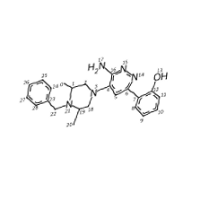 CC1CN(c2cc(-c3ccccc3O)nnc2N)CC(C)N1Cc1ccccc1